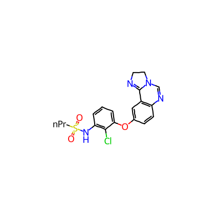 CCCS(=O)(=O)Nc1cccc(Oc2ccc3c(c2)C2=NCCN2C=N3)c1Cl